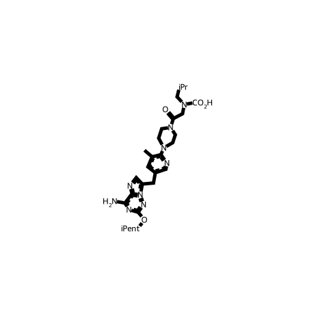 CCCC(C)Oc1nc(N)c2ncc(Cc3cnc(N4CCN(C(=O)CN(CC(C)C)C(=O)O)CC4)c(C)c3)n2n1